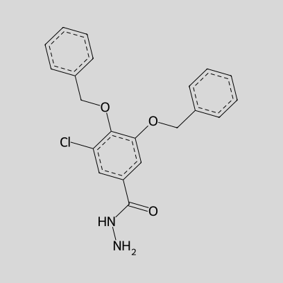 NNC(=O)c1cc(Cl)c(OCc2ccccc2)c(OCc2ccccc2)c1